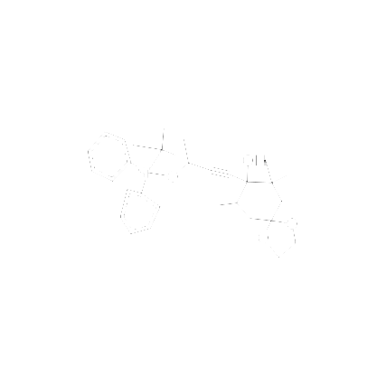 CC(C#CC1(O)C(C)CC2(CC1(C)C)OCCO2)O[Si](c1ccccc1)(c1ccccc1)C(C)(C)C